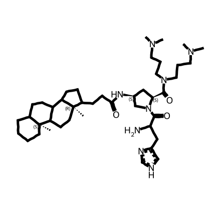 CN(C)CCCN(CCCN(C)C)C(=O)[C@@H]1C[C@H](NC(=O)CCC2CCC3C4CCC5CCCC[C@]5(C)C4CC[C@]23C)CN1C(=O)C(N)Cc1c[nH]cn1